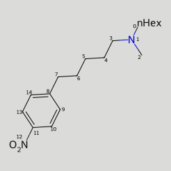 CCCCCCN(C)CCCCCc1ccc([N+](=O)[O-])cc1